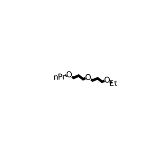 CCCOCCCOCCCOCC